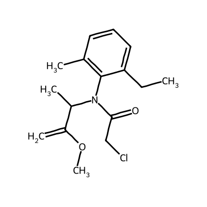 C=C(OC)C(C)N(C(=O)CCl)c1c(C)cccc1CC